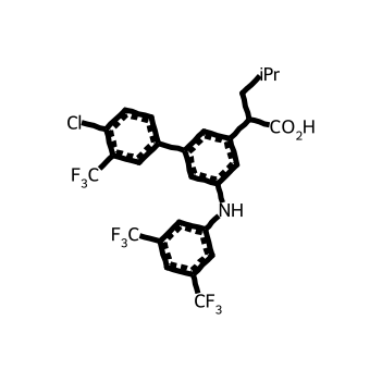 CC(C)CC(C(=O)O)c1cc(Nc2cc(C(F)(F)F)cc(C(F)(F)F)c2)cc(-c2ccc(Cl)c(C(F)(F)F)c2)c1